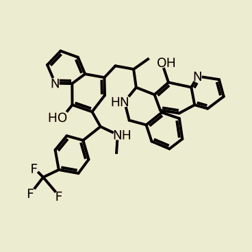 CNC(c1ccc(C(F)(F)F)cc1)c1cc(CC(C)C(NCc2ccccc2)c2ccc3cccnc3c2O)c2cccnc2c1O